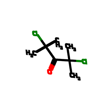 CC(C)(Cl)C(=O)C(C)(C)Cl